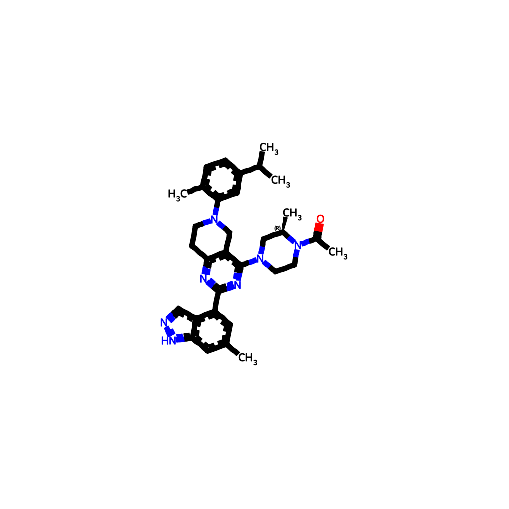 CC(=O)N1CCN(c2nc(-c3cc(C)cc4[nH]ncc34)nc3c2CN(c2cc(C(C)C)ccc2C)CC3)C[C@H]1C